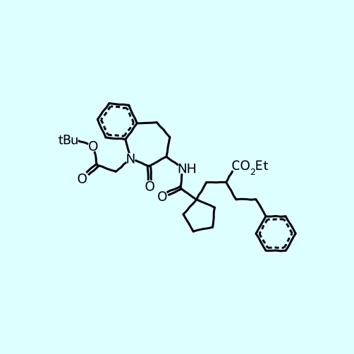 CCOC(=O)C(CCc1ccccc1)CC1(C(=O)NC2CCc3ccccc3N(CC(=O)OC(C)(C)C)C2=O)CCCC1